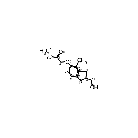 COC(=O)COc1ncc2c(c1C)CC(CO)C2